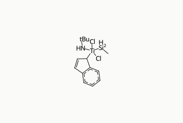 C[SiH2][Ti]([Cl])([Cl])([NH]C(C)(C)C)[CH]1C=Cc2ccccc21